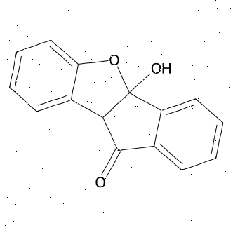 O=C1c2ccccc2C2(O)Oc3ccccc3C12